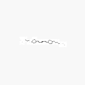 CCCCCC1CCC(C=CC#CC=CC2CCC(OCCCC)CC2)CC1